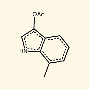 CC(=O)Oc1c[nH]c2c(C)cccc12